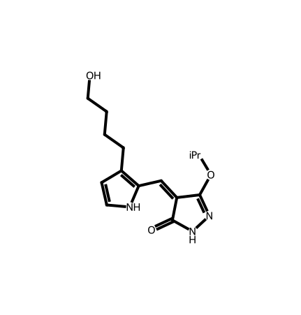 CC(C)OC1=NNC(=O)C1=Cc1[nH]ccc1CCCCO